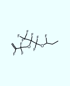 C=C(F)C(F)(F)OC(F)(C(F)(F)F)C(F)(F)OC(F)CC